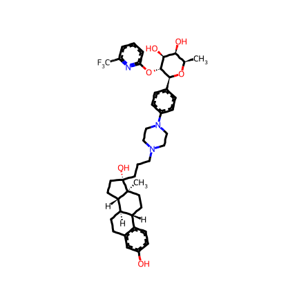 C[C@H]1O[C@@H](c2ccc(N3CCN(CCC[C@]4(O)CC[C@H]5[C@@H]6CCc7cc(O)ccc7[C@H]6CC[C@@]54C)CC3)cc2)[C@H](Oc2cccc(C(F)(F)F)n2)[C@@H](O)[C@H]1O